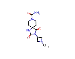 CN1CC(N2C(=O)NC3(CCN(C(N)=O)CC3)C2=O)C1